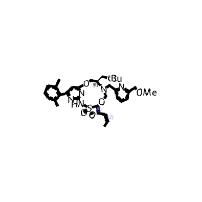 C/C=C\C=C1/OCN(Cc2cccc(COC)n2)[C@H](CC(C)(C)C)COc2cc(-c3c(C)cccc3C)nc(n2)NS1(=O)=O